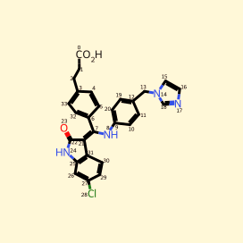 O=C(O)CCc1ccc(C(Nc2ccc(Cn3ccnc3)cc2)=C2C(=O)Nc3cc(Cl)ccc32)cc1